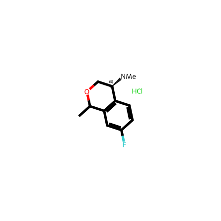 CN[C@@H]1COC(C)c2cc(F)ccc21.Cl